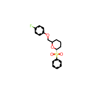 O=S(=O)(c1ccccc1)[C@H]1CCCC(COc2ccc(F)cc2)O1